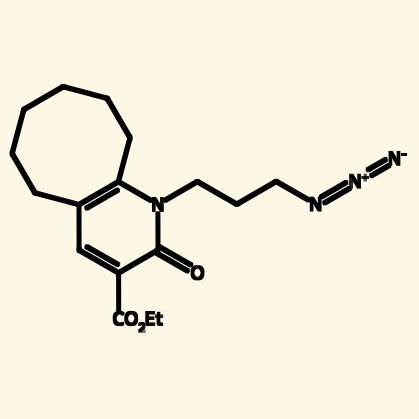 CCOC(=O)c1cc2c(n(CCCN=[N+]=[N-])c1=O)CCCCCC2